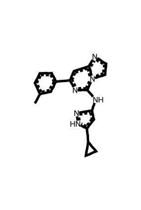 Cc1cccc(-c2cc3nccn3c(Nc3cc(C4CC4)[nH]n3)n2)c1